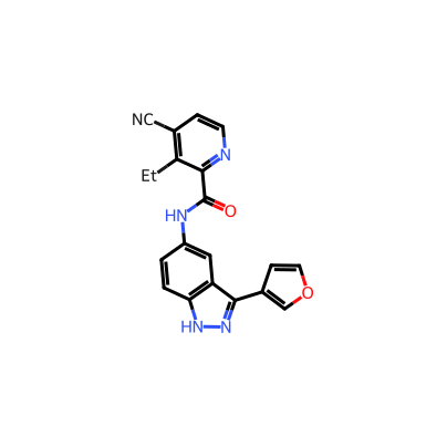 CCc1c(C#N)ccnc1C(=O)Nc1ccc2[nH]nc(-c3ccoc3)c2c1